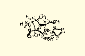 CC1(C)CC(C)(C(N)=O)c2c1c(CO)n(-c1ccccc1)c2CO